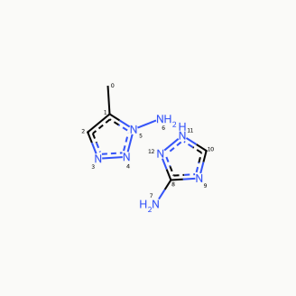 Cc1cnnn1N.Nc1nc[nH]n1